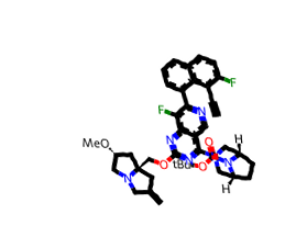 C#Cc1c(F)ccc2cccc(-c3ncc4c(N5C[C@H]6CC[C@@H](C5)N6C(=O)OC(C)(C)C)nc(OC[C@@]56CC(=C)CN5C[C@H](OC)C6)nc4c3F)c12